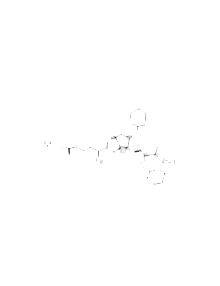 CCCC[C@H](C)[C@@H](/C=C/[C@@H]1[C@H]2CC(C(Br)CCCC(=O)OC)O[C@@H]2C[C@H]1OC1CCCCO1)OC1CCCCO1